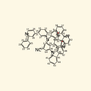 N#Cc1cc(-n2c3ccccc3c3ccc(-c4ccnc(-c5ccccc5)c4)cc32)c(-c2cc(F)cc(F)c2)c(-n2c3ccccc3c3ccc(-c4ccnc(-c5ccccc5)c4)cc32)c1